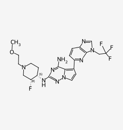 COCCN1CC[C@H](Nc2nc(N)c3c(-c4ccc5ncn(CC(F)(F)F)c5n4)ccn3n2)[C@H](F)C1